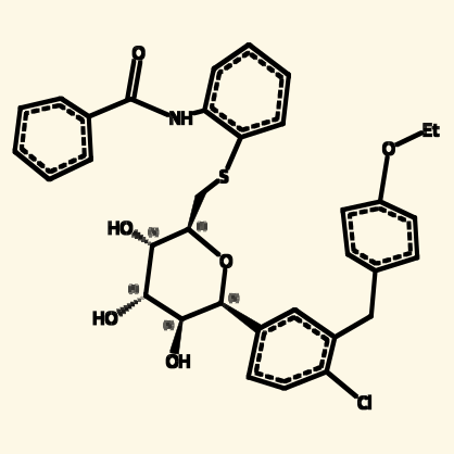 CCOc1ccc(Cc2cc([C@@H]3O[C@H](CSc4ccccc4NC(=O)c4ccccc4)[C@@H](O)[C@@H](O)[C@@H]3O)ccc2Cl)cc1